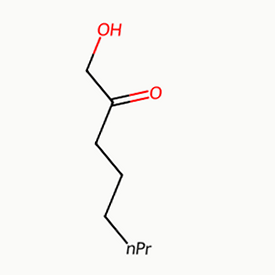 CCCCCCC(=O)CO